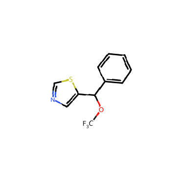 FC(F)(F)O[C](c1ccccc1)c1cncs1